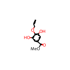 C=CCOc1c(O)cc(C(=O)OC)cc1O